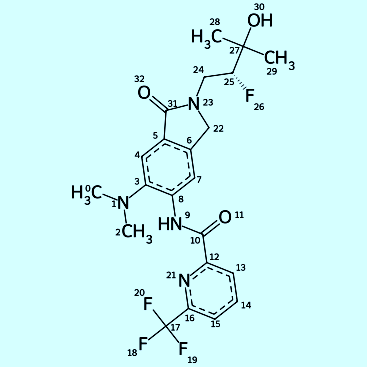 CN(C)c1cc2c(cc1NC(=O)c1cccc(C(F)(F)F)n1)CN(C[C@@H](F)C(C)(C)O)C2=O